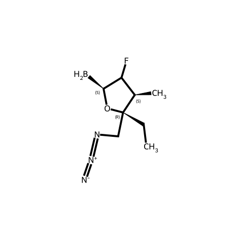 B[C@@H]1O[C@@](CC)(CN=[N+]=[N-])[C@H](C)C1F